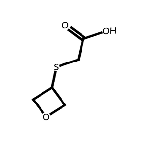 O=C(O)CSC1COC1